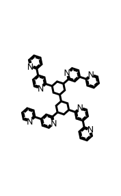 c1ccc(-c2ccnc(C3CC(c4cc(-c5ccccn5)ccn4)CC(C4CC(c5cc(-c6ccccn6)ccn5)CC(c5cc(-c6ccccn6)ccn5)C4)C3)c2)nc1